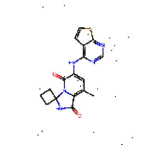 Cc1cc(Nc2ncnc3sccc23)c(=O)n2c1C(=O)NC21CCC1